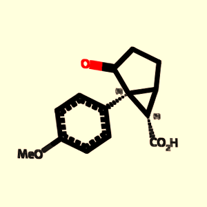 COc1ccc([C@]23C(=O)CCC2[C@@H]3C(=O)O)cc1